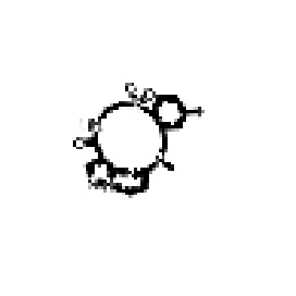 CN1Cc2cc(F)ccc2S(=O)(=O)CCNC(=O)c2cnn3ccc1nc23